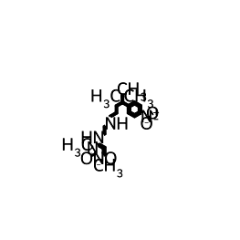 Cn1c(NCCNCCCC(c2ccc([N+](=O)[O-])cc2)C(C)(C)C)cc(=O)n(C)c1=O